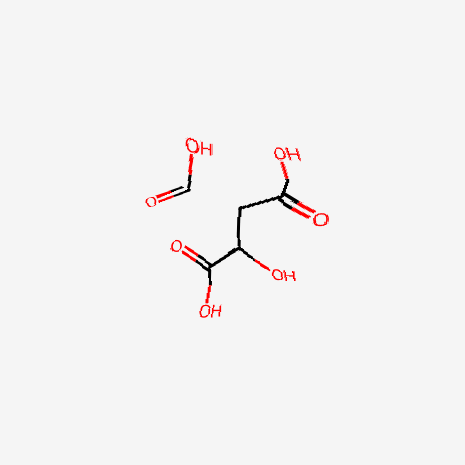 O=C(O)CC(O)C(=O)O.O=CO